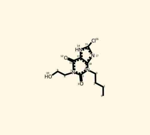 CCCCn1c(=O)n(CCO)c(=O)c2[nH]c(Cl)nc21